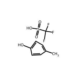 Cc1ccc(O)cc1.O=S(=O)(O)C(F)(F)F